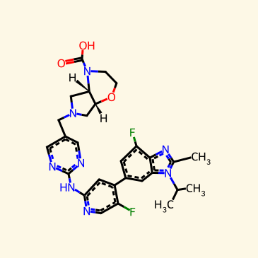 Cc1nc2c(F)cc(-c3cc(Nc4ncc(CN5C[C@H]6OCCN(C(=O)O)[C@H]6C5)cn4)ncc3F)cc2n1C(C)C